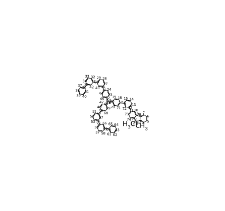 CC1(C)c2ccccc2-c2cc(-c3cccc(-c4ccc(N(c5ccc(-c6cccc(-c7cccc(-c8ccccc8)c7)c6)cc5)c5ccc(-c6cccc(-c7cccc(-c8ccccc8)c7)c6)cc5)cc4)c3)ccc21